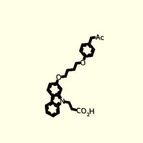 CC(=O)Cc1ccc(OCCCCOc2ccc3c4ccccc4n(CCC(=O)O)c3c2)cc1